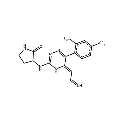 N=C/C=C1\NC(NC2CCNC2=O)=NN=C1c1ccc(C(F)(F)F)cc1C(F)(F)F